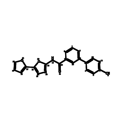 N#Cc1ccc(-c2cccc(C(=O)Nc3nnc(-c4ccco4)o3)c2)cn1